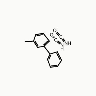 Cc1cccc(-c2ccccc2)c1.N=C=O.N=C=O